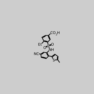 CCc1ccc(C(=O)O)cc1S(=O)(=O)Nc1cc(C#N)ccc1-c1ccc(C)s1